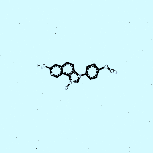 Cc1cc2ccc3c(c2cn1)[n+]([O-])cn3-c1ccc(OC(F)(F)F)cc1